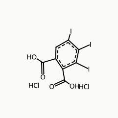 Cl.Cl.O=C(O)c1cc(I)c(I)c(I)c1C(=O)O